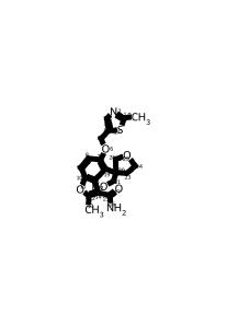 Cc1ncc(COc2ccc3oc(C)c(C(N)=O)c3c2C2(CO)CCOC2)s1